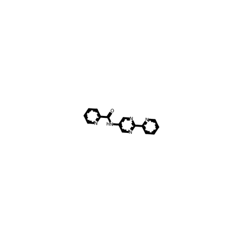 O=C(Nc1cnc(-c2ccccn2)nc1)c1ccccn1